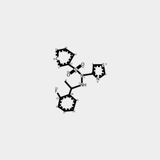 CC(NN(c1cscn1)S(=O)(=O)c1ccccc1)c1ccccc1F